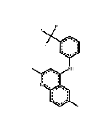 Cc1ccc2nc(C)cc(Nc3cccc(C(F)(F)F)c3)c2c1